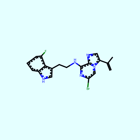 C=C(C)c1cnc2c(NCCc3c[nH]c4cccc(F)c34)nc(Br)cn12